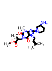 C=C(Cn1c(=O)c2c(nc(N3CCCC(N)C3)n2CC=C(C)C)n(C)c1=O)C(=O)OC